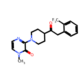 Cn1ccnc(N2CCC(C(=O)Cc3ccccc3C(F)(F)F)CC2)c1=O